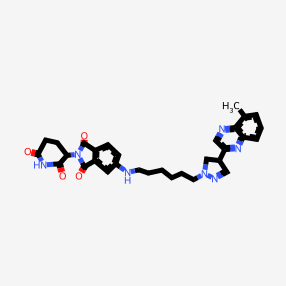 Cc1cccc2nc(C3C=NN(CCCCCCNc4ccc5c(c4)C(=O)N(C4CCC(=O)NC4=O)C5=O)C3)cnc12